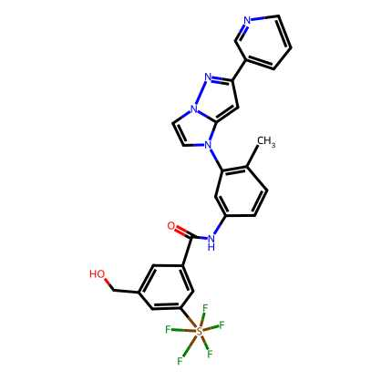 Cc1ccc(NC(=O)c2cc(CO)cc(S(F)(F)(F)(F)F)c2)cc1-n1ccn2nc(-c3cccnc3)cc12